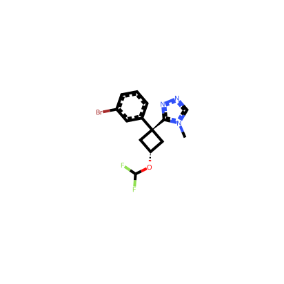 Cn1cnnc1[C@]1(c2cccc(Br)c2)C[C@@H](OC(F)F)C1